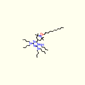 CCCCCCCCCCCON1C(C)(C)CC(C2N=C(N(CCCC)CCCC)N=C(N(CCCC)CCCC)N2NCCCC)CC1(C)C